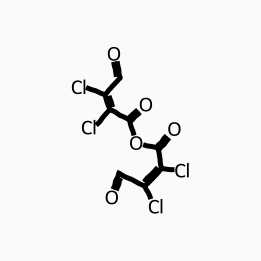 O=C/C(Cl)=C(/Cl)C(=O)OC(=O)/C(Cl)=C(/Cl)C=O